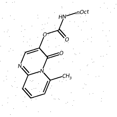 CCCCCCCCNC(=O)Oc1cnc2cccc(C)n2c1=O